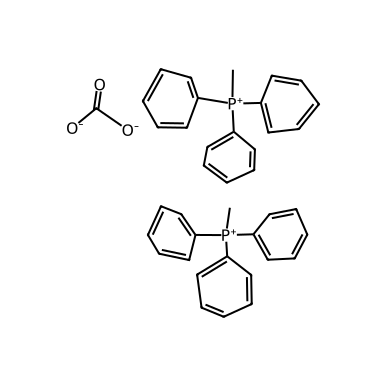 C[P+](c1ccccc1)(c1ccccc1)c1ccccc1.C[P+](c1ccccc1)(c1ccccc1)c1ccccc1.O=C([O-])[O-]